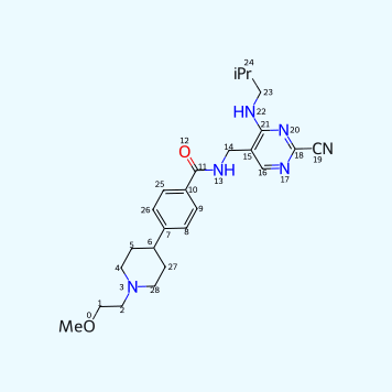 COCCN1CCC(c2ccc(C(=O)NCc3cnc(C#N)nc3NCC(C)C)cc2)CC1